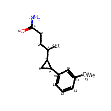 CCC(CCC(N)=O)C1CC1c1cccc(OC)c1